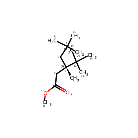 COC(=O)C[C@](C)(CC(C)(C)C)C(C)(C)C